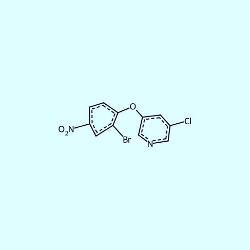 O=[N+]([O-])c1ccc(Oc2cncc(Cl)c2)c(Br)c1